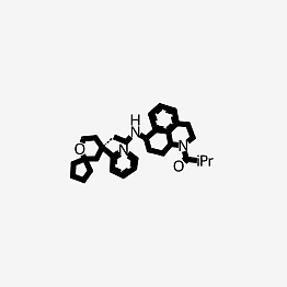 CC(C)C(=O)N1CCc2cccc3c2C1CCC3NCC[C@@]1(c2ccccn2)CCOC2(CCCC2)C1